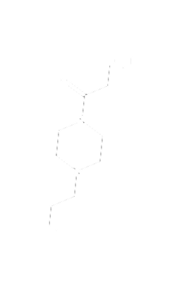 CC(C)CCN1CCN(C(=O)CC(=O)O)CC1